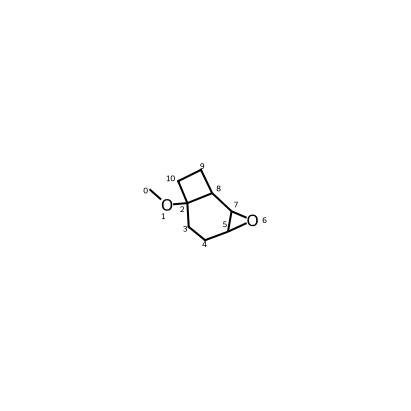 COC12CCC3OC3C1CC2